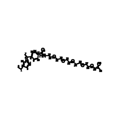 CCc1cnn(C(C)c2ccc(C(=O)NCCOCCOCCOCCOCCOCC(C)=O)cc2)c1